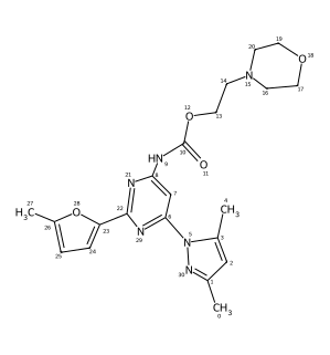 Cc1cc(C)n(-c2cc(NC(=O)OCCN3CCOCC3)nc(-c3ccc(C)o3)n2)n1